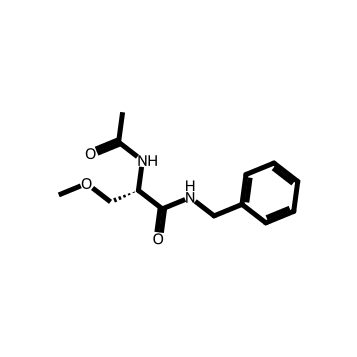 COC[C@H](NC(C)=O)C(=O)NCc1ccccc1